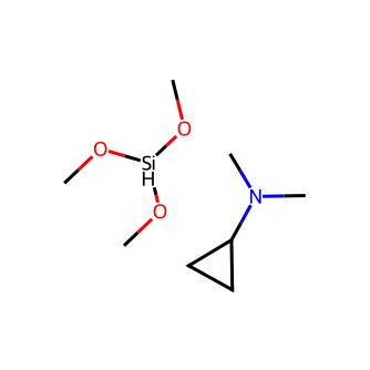 CN(C)C1CC1.CO[SiH](OC)OC